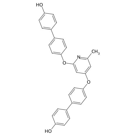 Cc1cc(Oc2ccc(-c3ccc(O)cc3)cc2)cc(Oc2ccc(-c3ccc(O)cc3)cc2)n1